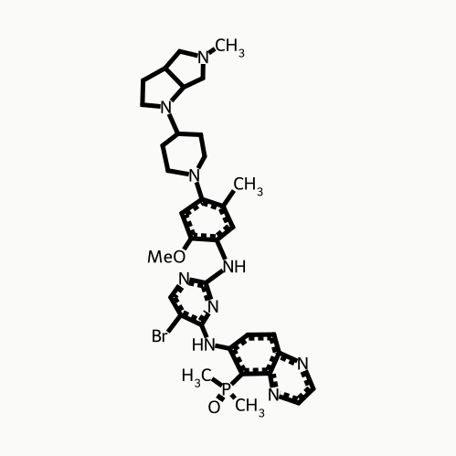 COc1cc(N2CCC(N3CCC4CN(C)CC43)CC2)c(C)cc1Nc1ncc(Br)c(Nc2ccc3nccnc3c2P(C)(C)=O)n1